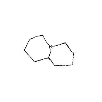 [CH]1CCC2CCCCN2C1